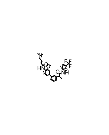 COc1cc(-c2cccc(C(C)C(=O)Nc3ncc(C(F)(F)F)s3)c2)cnc1NC(=O)/C=C/CN(C)C